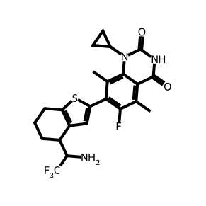 Cc1c(F)c(-c2cc3c(s2)CCCC3C(N)C(F)(F)F)c(C)c2c1c(=O)[nH]c(=O)n2C1CC1